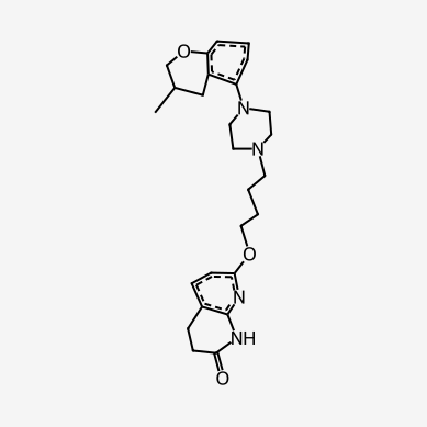 CC1COc2cccc(N3CCN(CCCCOc4ccc5c(n4)NC(=O)CC5)CC3)c2C1